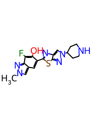 Cn1cc2cc(-c3nc4cn(C5CCNCC5)nc4s3)c(O)c(F)c2n1